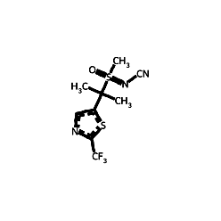 CC(C)(c1cnc(C(F)(F)F)s1)S(C)(=O)=NC#N